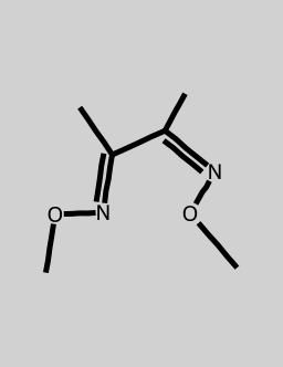 CON=C(C)C(C)=NOC